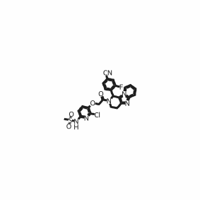 CS(=O)(=O)Nc1ccc(OCC(=O)N2CCc3nc4ccccn4c3C2c2ccc(C#N)cc2F)c(Cl)n1